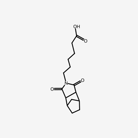 O=C(O)CCCCCN1C(=O)C2C3CCC(C3)C2C1=O